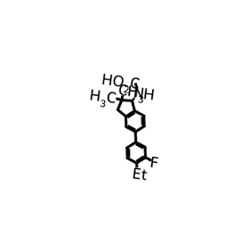 CCc1ccc(-c2ccc3c(c2)CC(C)(C)[C@H]3NC(=O)O)cc1F